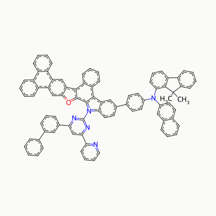 CC1(C)c2ccccc2-c2cccc(N(c3ccc(-c4ccc5c(c4)c4c6ccccc6c6c7cc8c9ccccc9c9ccccc9c8cc7oc6c4n5-c4nc(-c5cccc(-c6ccccc6)c5)cc(-c5ccccn5)n4)cc3)c3ccc4ccccc4c3)c21